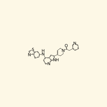 O=C(Cc1cccnc1)N1CC=C(c2cc3c(Nc4ccc5ncsc5c4)ccnc3[nH]2)CC1